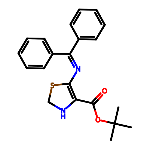 CC(C)(C)OC(=O)C1=C(N=C(c2ccccc2)c2ccccc2)SCN1